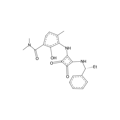 CC[C@@H](Nc1c(Nc2c(C)ccc(C(=O)N(C)C)c2O)c(=O)c1=O)c1ccccc1